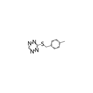 Cc1ccc(CSc2nncnn2)cc1